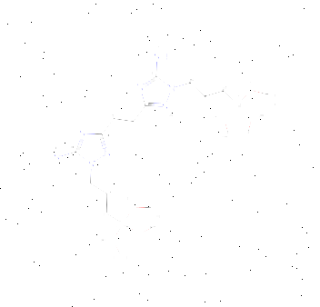 CCO[Si](CCCn1nc(CCc2nc(N)n(CCC[Si](OCC)(OCC)OCC)n2)nc1N)(OCC)OCC